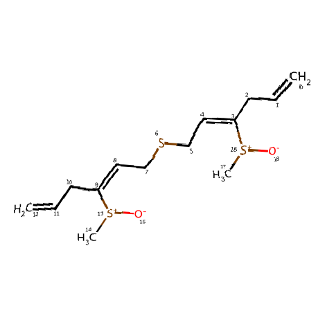 C=CCC(=CCSCC=C(CC=C)[S+](C)[O-])[S+](C)[O-]